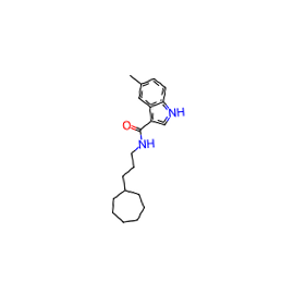 Cc1ccc2[nH]cc(C(=O)NCCCC3CCCCCC3)c2c1